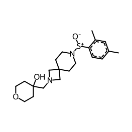 Cc1ccc([S+]([O-])N2CCC3(CC2)CN(CC2(O)CCOCC2)C3)c(C)c1